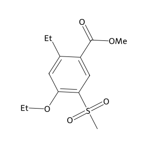 CCOc1cc(CC)c(C(=O)OC)cc1S(C)(=O)=O